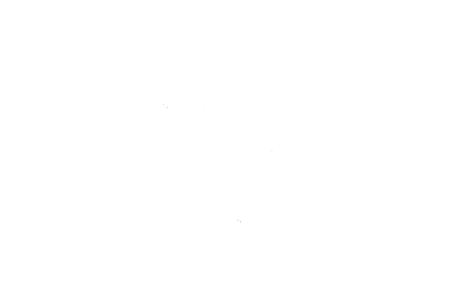 COc1cc(-c2cc3nccc(-c4cccc(OCCN)c4)c3o2)cc(OC)c1OC